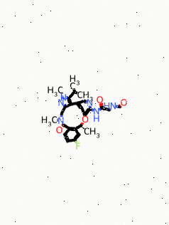 CC(C)c1c2c(nn1C)CN(C)C(=O)c1ccc(F)cc1[C@@H](C)Oc1cc-2cnc1NC(=O)CNC=O